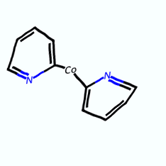 c1cc[c]([Co][c]2ccccn2)nc1